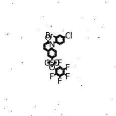 O=c1ccc2cc(S(=O)(=O)Oc3c(F)c(F)c(F)c(F)c3F)ccc2n1-c1ccc(Cl)cc1Br